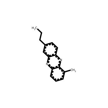 CCCc1ccc2nc3c(C)cccc3nc2c1